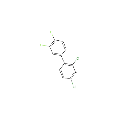 Fc1ccc(-c2ccc(Cl)[c]c2Cl)cc1F